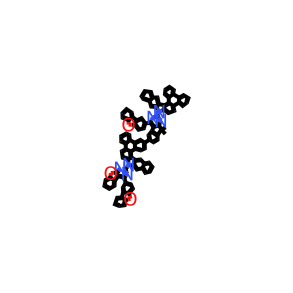 CC1(C)c2ccc(-c3ccc4c(c3)c3ccccc3c3ccc5c(c6cc7ccccc7cc6n5-c5nc(-c6ccc7oc8ccccc8c7c6)c6c(n5)oc5ccccc56)c34)cc2-c2c(-c3ccc4oc5ccccc5c4c3)nc(-n3c4cc5ccccc5cc4c4c5c6ccccc6c6ccccc6c5ccc43)nc21